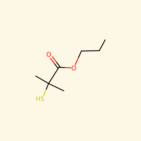 CCCOC(=O)C(C)(C)S